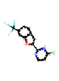 FC(F)(F)c1ccc2cc(-c3nccc(Cl)n3)oc2c1